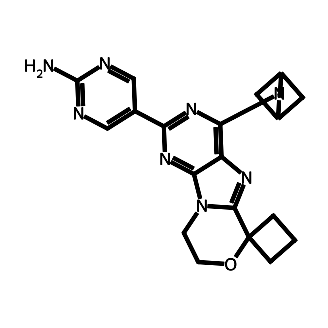 Nc1ncc(-c2nc(N3CC4CC3C4)c3nc4n(c3n2)CCOC42CCC2)cn1